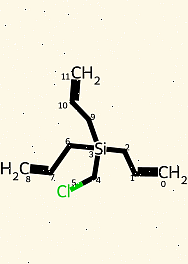 C=CC[Si](CCl)(CC=C)CC=C